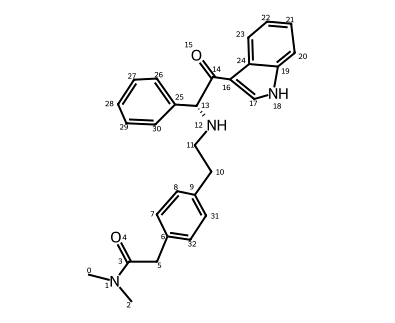 CN(C)C(=O)Cc1ccc(CCN[C@@H](C(=O)c2c[nH]c3ccccc23)c2ccccc2)cc1